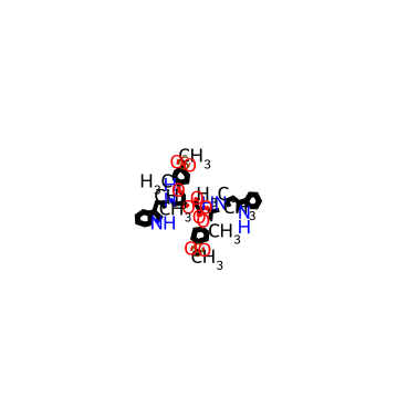 Cc1cc(S(C)(=O)=O)ccc1OCC(CNC(C)(C)Cc1c[nH]c2ccccc12)OC(=O)C(=O)OC(CNC(C)(C)Cc1c[nH]c2ccccc12)COc1ccc(S(C)(=O)=O)cc1C